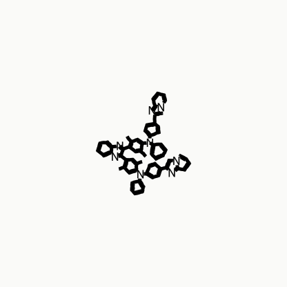 Cc1cc(N(c2ccccc2)c2ccc(-c3cn4ccccc4n3)cc2)c(C)cc1-c1nc2ccccc2nc1-c1cc(C)c(N(c2ccccc2)c2ccc(-c3cn4ccccc4n3)cc2)cc1C